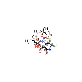 CC(C)(C)OC(=O)N(C(=O)OC(C)(C)C)c1c(F)c(Cl)nc(Br)c1C(=O)O